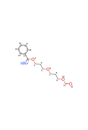 N=C(OCCCOCCCOC=O)c1ccccc1